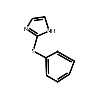 [c]1ccccc1Sc1ncc[nH]1